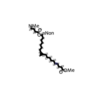 CCCCCCCCCC(CCCCCCC1CC1CCCCC/C=C/CCC(=O)OC)OC(=O)CCCNC